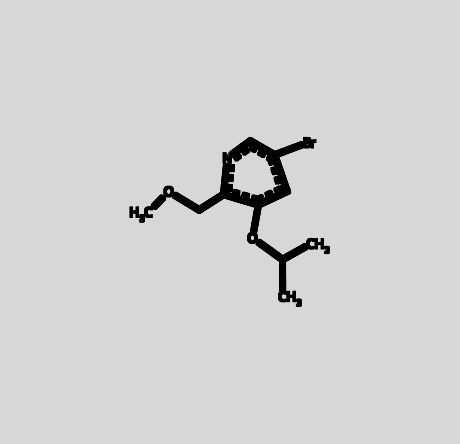 COCc1ncc(Br)cc1OC(C)C